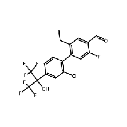 CCc1cc(C=O)c(F)cc1-c1ccc(C(O)(C(F)(F)F)C(F)(F)F)cc1Cl